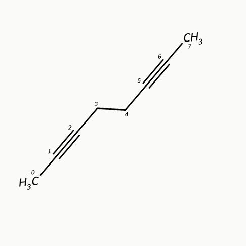 CC#CCCC#CC